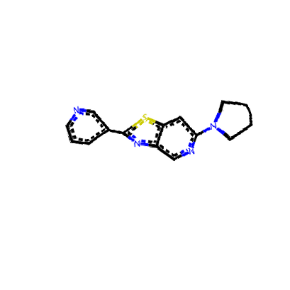 c1cncc(-c2nc3cnc(N4CCCC4)cc3s2)c1